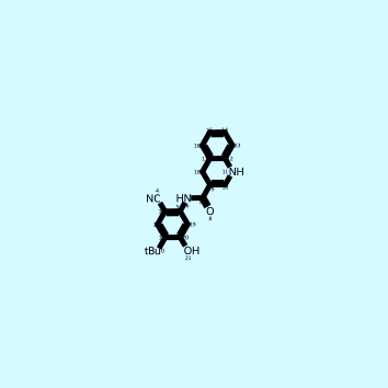 CC(C)(C)c1cc(C#N)c(NC(=O)C2=CNc3ccccc3C2)cc1O